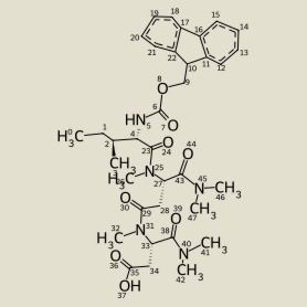 CC[C@H](C)[C@H](NC(=O)OCC1c2ccccc2-c2ccccc21)C(=O)N(C)[C@@H](CC(=O)N(C)[C@@H](CC(=O)O)C(=O)N(C)C)C(=O)N(C)C